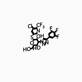 OCC1OC(Sc2cnc(C(F)(F)F)c(Cl)c2)C(O)C(n2cc(-c3cc(F)c(F)c(F)c3)nn2)C1O